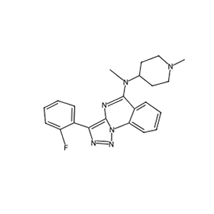 CN1CCC(N(C)c2nc3c(-c4ccccc4F)nnn3c3ccccc23)CC1